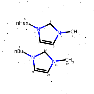 CCCCCCN1C=CN(C)C1.CCCCN1C=CN(C)C1